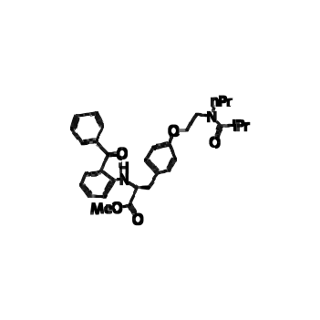 CCCN(CCOc1ccc(C[C@H](Nc2ccccc2C(=O)c2ccccc2)C(=O)OC)cc1)C(=O)C(C)C